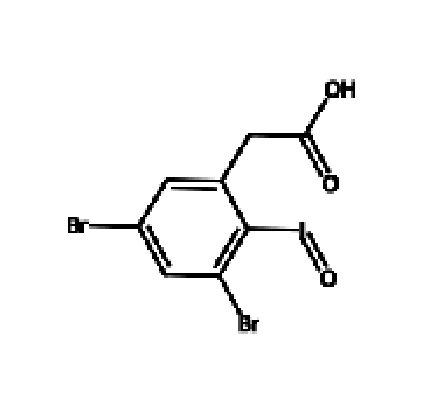 O=Ic1c(Br)cc(Br)cc1CC(=O)O